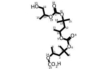 CC(CC(C)(C)OC(=O)OC(C)CC(C)(C)OC(=O)OC(C)CO)OC(=O)O